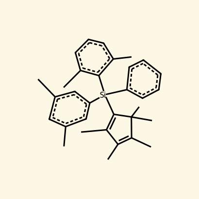 CC1=C(C)C(C)(C)C([Si](c2ccccc2)(c2cc(C)cc(C)c2)c2c(C)cccc2C)=C1C